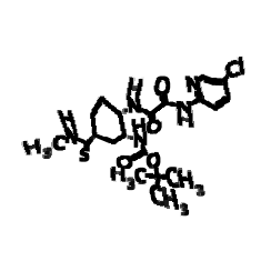 CNC(=S)[C@H]1CC[C@H](NC(=O)C(=O)Nc2ccc(Cl)cn2)[C@H](NC(=O)OC(C)(C)C)C1